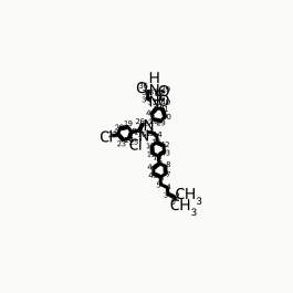 CC(C)=CCCc1ccc(-c2ccc(Cc3nc(-c4ccc(Cl)cc4Cl)cn3-c3cccc(N4CC(=O)NS4(=O)=O)c3)cc2)cc1